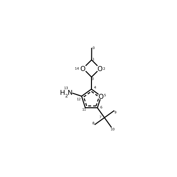 CC1OC(c2oc(C(C)(C)C)cc2N)O1